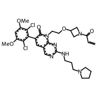 C=CC(=O)N1CC(OCCn2c(=O)c(-c3c(Cl)c(OC)cc(OC)c3Cl)cc3cnc(NCCCN4CCCC4)nc32)C1